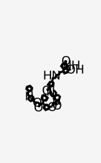 O=C(OCC1CCN(Cc2ccccc2)CC1)C(c1ccccc1)c1cccc(OCC(=O)N2CCCC3(CCN(C(=O)c4ccc(CCNCCc5ccc(O)c6[nH]c(=O)ccc56)cc4)CC3)C2)c1